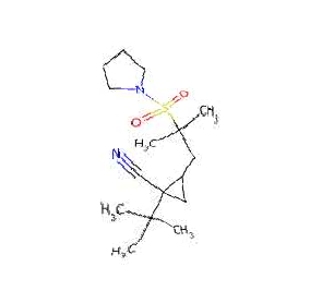 CC(C)(C)C1(C#N)CC1CC(C)(C)S(=O)(=O)N1CCCC1